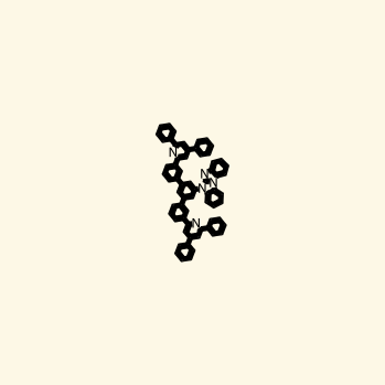 c1ccc(-c2cc(-c3ccccc3)nc(-c3cccc(-c4cc(-c5cccc(-c6cc(-c7ccccc7)cc(-c7ccccc7)n6)c5)cc(-n5c6ccccc6n6c7ccccc7nc56)c4)c3)c2)cc1